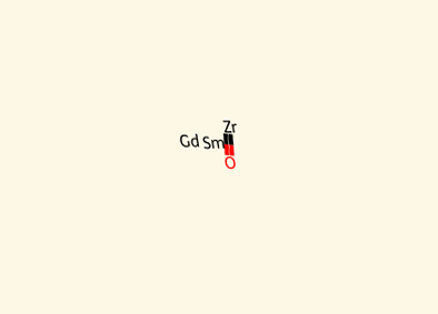 [Gd].[O]=[Zr].[Sm]